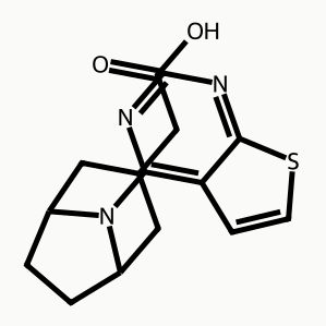 O=C(O)CC1CC2CCC(C1)N2c1ncnc2sccc12